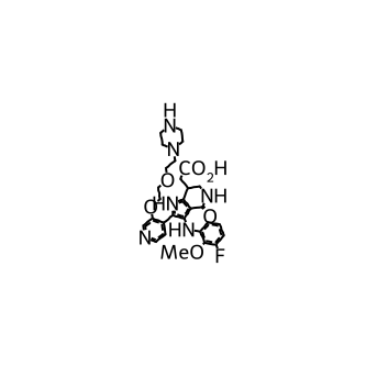 COc1c(F)cccc1Nc1c(-c2ccncc2OCCOCCN2CCNCC2)[nH]c2c1C(=O)NCC2CC(=O)O